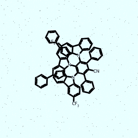 N#Cc1c(-c2ccccc2)c(-n2c3ccccc3c3cc(C(F)(F)F)ccc32)c(-n2c3ccc(-c4ccccc4)cc3c3cc(-c4ccccc4)ccc32)c(-n2c3ccccc3c3cc(C(F)(F)F)ccc32)c1-c1ccccc1